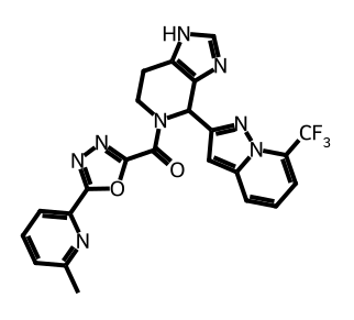 Cc1cccc(-c2nnc(C(=O)N3CCc4[nH]cnc4C3c3cc4cccc(C(F)(F)F)n4n3)o2)n1